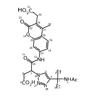 CCC(CC)(NC(C)=O)c1cn(C(CC(=O)O)C(=O)Nc2ccc3c(C)c(CC(=O)O)c(=O)oc3c2)nn1